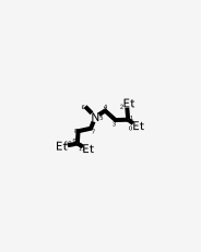 CCC(CC)CCN(C)CCC(CC)CC